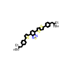 CCCCC(CC)Cc1ccc(-c2ccc(-c3ccc(-c4cc5sc(-c6ccc(CC(CC)CCCC)cc6)cc5s4)c4nsnc34)s2)cc1